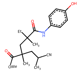 CCC(C)(CC(C)(CC(C)C#N)C(=O)OC)C(=O)Nc1ccc(O)cc1